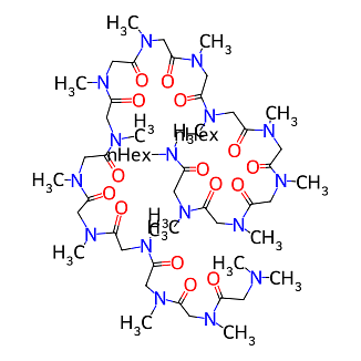 CCCCCCN(CCCCCC)C(=O)CN(C)C(=O)CN(C)C(=O)CN(C)C(=O)CN(C)C(=O)CN(C)C(=O)CN(C)C(=O)CN(C)C(=O)CN(C)C(=O)CN(C)C(=O)CN(C)C(=O)CN(C)C(=O)CN(C)C(=O)CN(C)C(=O)CN(C)C(=O)CN(C)C